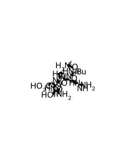 CC[C@H](C)[C@H](NC(=O)[C@H](C)N)C(=O)N[C@@H](CCCNC(=N)N)C(=O)N1CCC[C@H]1C(=O)N[C@@H](CC(=O)O)C(=O)N[C@H](C(N)=O)[C@@H](C)O